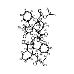 CC(C)OC(=O)Oc1ccccc1C(=O)C1(OC(=O)N(C)C)C=CC=CC1C(=O)OOC(=O)C1C=CC=CC1(OC(=O)N(C)C)C(=O)c1ccccc1OC(=O)OC(C)C